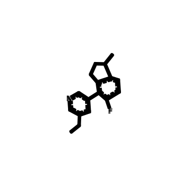 CCc1cncc(-c2c(F)ccc3c2CCC3C)c1